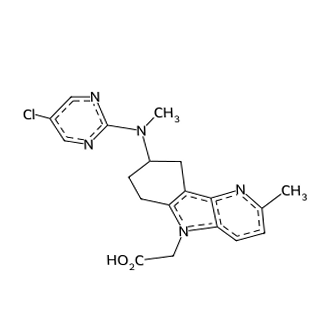 Cc1ccc2c(n1)c1c(n2CC(=O)O)CCC(N(C)c2ncc(Cl)cn2)C1